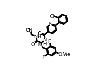 COc1cc(F)c(C[C@H](NC(=O)c2ccc(-c3ccccc3Cl)nc2)C(=O)NCC#N)c(F)c1